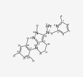 CCCN(Cc1cccc(C)n1)c1c2c(nn1C)N(c1c(C)cc(C)cc1C)CCC2